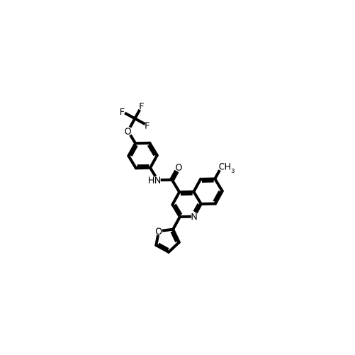 Cc1ccc2nc(-c3ccco3)cc(C(=O)Nc3ccc(OC(F)(F)F)cc3)c2c1